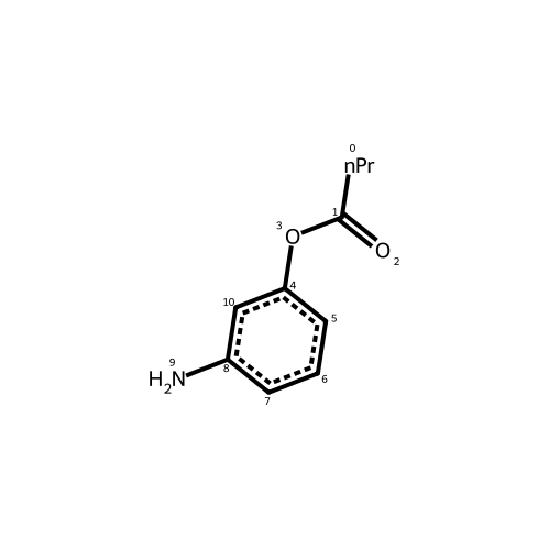 CCCC(=O)Oc1cccc(N)c1